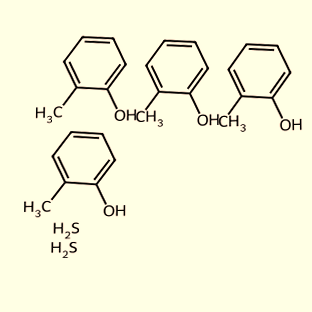 Cc1ccccc1O.Cc1ccccc1O.Cc1ccccc1O.Cc1ccccc1O.S.S